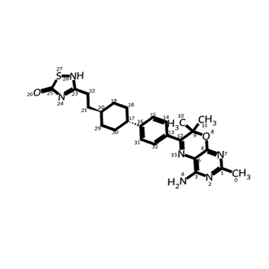 Cc1nc(N)c2c(n1)OC(C)(C)C(c1ccc([C@H]3CC[C@H](CCc4nc(=O)s[nH]4)CC3)cc1)=N2